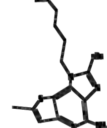 CCCCc1nc2c(N)nc3cc(C)sc3c2n1CCCCNC